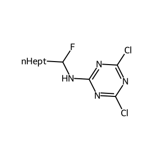 CCCCCCCC(F)Nc1nc(Cl)nc(Cl)n1